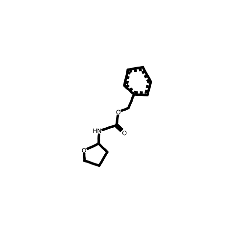 O=C(NC1CCCO1)OCc1ccccc1